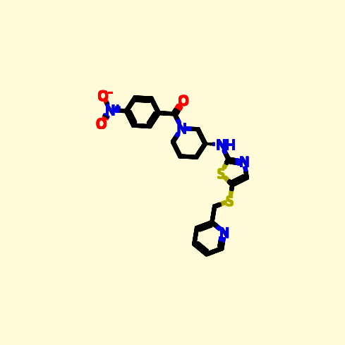 O=C(c1ccc([N+](=O)[O-])cc1)N1CCC[C@@H](Nc2ncc(SCc3ccccn3)s2)C1